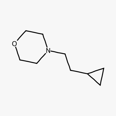 C1CN(CCC2CC2)CCO1